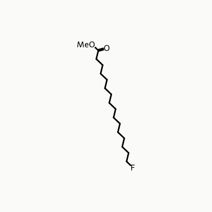 COC(=O)CCCCCCCCCCCCCCCF